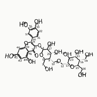 O=c1c(O[C@@H]2OC(CO)[C@@H](COC[C@H]3OC(CO)[C@@H](CO)[C@@H](O)C3O)[C@@H](O)C2O)c(-c2ccc(O)c(O)c2)oc2cc(O)cc(O)c12